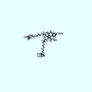 COc1ccc(-n2c(C(=O)OC(C)C)c(OC(=O)C(C)(C)COCCOCCOP(=O)(O)O)c(OC(=O)C(C)(C)COCCOCCOP(=O)(O)O)c2C(=O)N(C)C)cc1